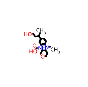 CCC(CCO)c1ccc(N(CC)C2CCOCC2)c(NC(=O)O)c1